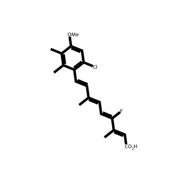 COc1cc(Cl)c(/C=C/C(C)=C/C=C(F)/C(C)=C/C(=O)O)c(C)c1C